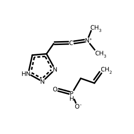 C=CC[PH](=O)[O-].C[N+](C)=C=Cc1c[nH]nn1